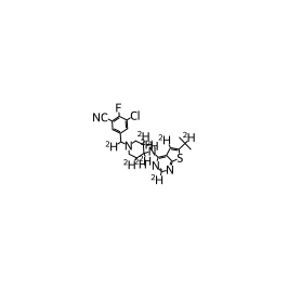 [2H]c1nc(N([2H])C2([2H])C([2H])([2H])CN(C([2H])c3cc(Cl)c(F)c(C#N)c3)CC2([2H])[2H])c2c([2H])c(C([2H])(C)C)sc2n1